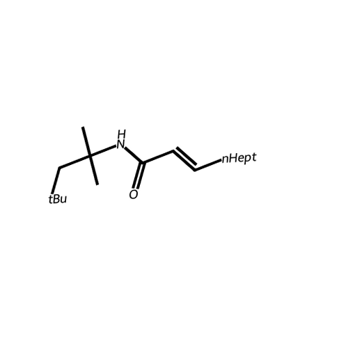 CCCCCCC/C=C/C(=O)NC(C)(C)CC(C)(C)C